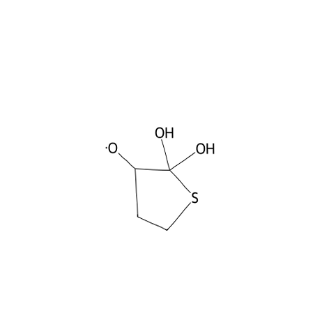 [O]C1CCSC1(O)O